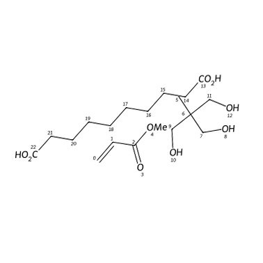 C=CC(=O)OC.CC(CO)(CO)CO.O=C(O)CCCCCCCCC(=O)O